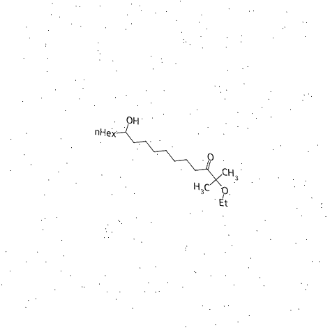 CCCCCCC(O)CCCCCCCC(=O)C(C)(C)OCC